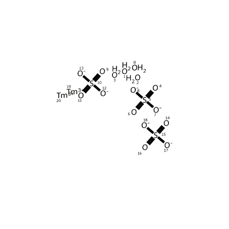 O.O.O.O.O=S(=O)([O-])[O-].O=S(=O)([O-])[O-].O=S(=O)([O-])[O-].[Tm+3].[Tm+3]